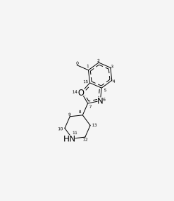 Cc1cccc2nc(C3CCNCC3)oc12